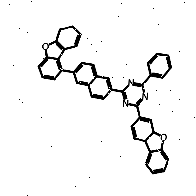 C1=Cc2c(oc3cccc(-c4ccc5cc(-c6nc(C7=CC8Oc9ccccc9C8C=C7)nc(-c7ccccc7)n6)ccc5c4)c23)CC1